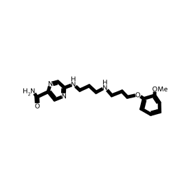 COc1ccccc1OCCCNCCCNc1cnc(C(N)=O)cn1